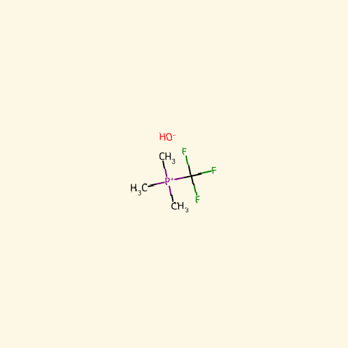 C[P+](C)(C)C(F)(F)F.[OH-]